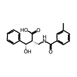 Cc1cccc(C(=O)NC[C@@H](C(=O)O)[C@H](O)c2ccccc2)c1